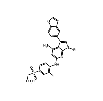 CC(C)n1cc(-c2ccc3occc3c2)c2c(N)nc(Nc3ccc(S(=O)(=O)CC(=O)O)cc3F)nc21